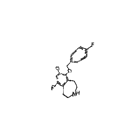 Fc1ccc(COc2c(Cl)cc(F)c3c2CCNCC3)cc1